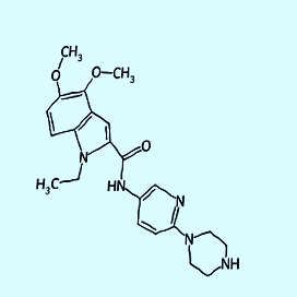 CCn1c(C(=O)Nc2ccc(N3CCNCC3)nc2)cc2c(OC)c(OC)ccc21